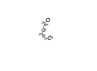 O=C(NCc1ccc(C(=O)N2CC(Oc3ccncc3)C2)s1)c1ccccc1